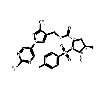 C[C@H]1[C@H](F)C[C@@H](C(=O)NCc2cn(-c3cnc(C(F)(F)F)nc3)nc2C(F)(F)F)N1S(=O)(=O)c1ccc(F)cc1